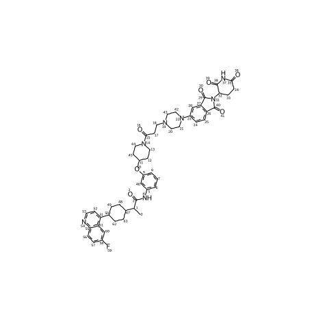 CC(C(=O)Nc1cccc(OC2CCN(C(=O)CCN3CCN(c4ccc5c(c4)C(=O)N(C4CCC(=O)NC4=O)C5=O)CC3)CC2)c1)C1CCC(c2ccnc3ccc(F)cc23)CC1